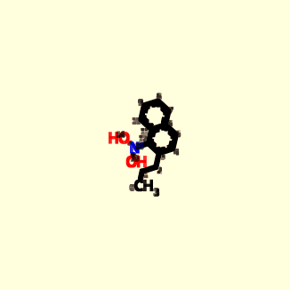 CCCc1ccc2ccccc2c1N(O)O